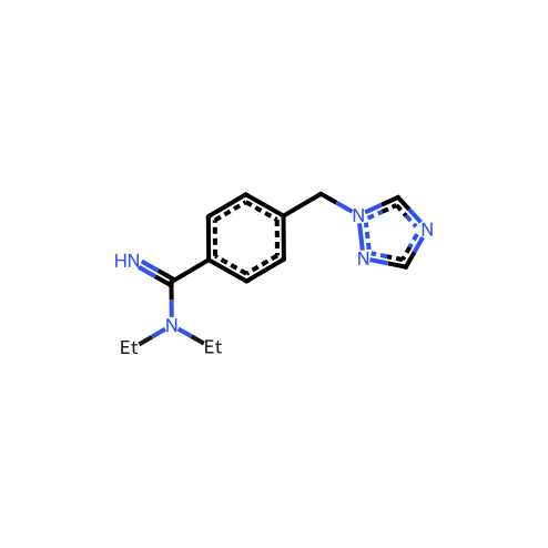 CCN(CC)C(=N)c1ccc(Cn2cncn2)cc1